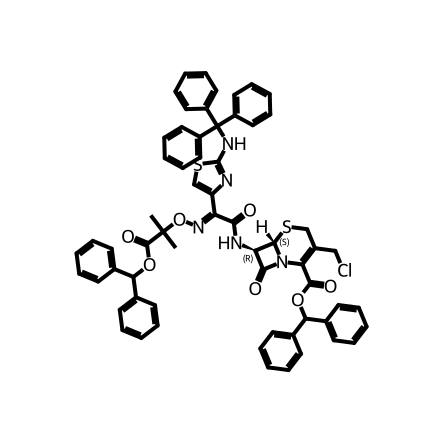 CC(C)(ON=C(C(=O)N[C@@H]1C(=O)N2C(C(=O)OC(c3ccccc3)c3ccccc3)=C(CCl)CS[C@@H]12)c1csc(NC(c2ccccc2)(c2ccccc2)c2ccccc2)n1)C(=O)OC(c1ccccc1)c1ccccc1